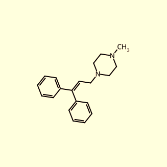 CN1CCN(CC=C(c2ccccc2)c2ccccc2)CC1